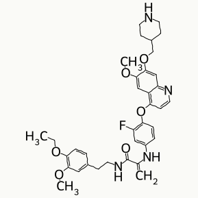 C=C(Nc1ccc(Oc2ccnc3cc(OCC4CCNCC4)c(OC)cc23)c(F)c1)C(=O)NCCc1ccc(OCC)c(OC)c1